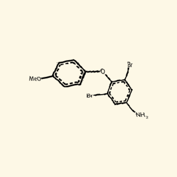 COc1[c]cc(Oc2c(Br)cc(N)cc2Br)cc1